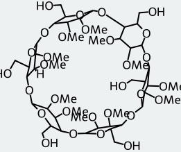 COC1C2OC(CO)C(OC3OC(CO)C(OC4OC(CO)C(OC5OC(CO)C(OC6OC(CO)C(OC7OC(CO)C(O2)C(OC)C7OC)C(OC)C6OC)[C@@H](OC)C5OC)C(OC)C4OC)C(OC)C3OC)C1OC